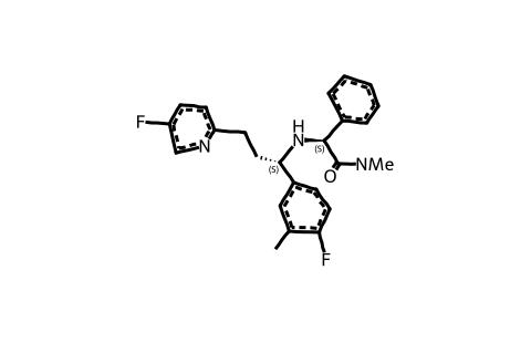 CNC(=O)[C@@H](N[C@@H](CCc1ccc(F)cn1)c1ccc(F)c(C)c1)c1ccccc1